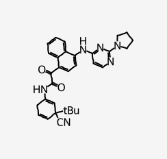 CC(C)(C)C1(C#N)C=CCC(NC(=O)C(=O)c2ccc(Nc3ccnc(N4CCCC4)n3)c3ccccc23)=C1